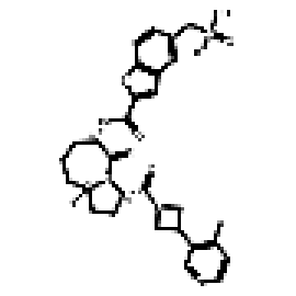 Cc1ccncc1C1CN(C(=O)[C@@H]2CC[C@@H]3CCC[C@H](NC(=O)c4cc5cc(CP(=O)(O)O)ccc5s4)C(=O)N32)C1